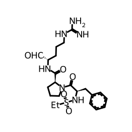 CCS(=O)(=O)N[C@H](Cc1ccccc1)C(=O)N1CCC[C@H]1C(=O)N[C@H](C=O)CCCNC(=N)N